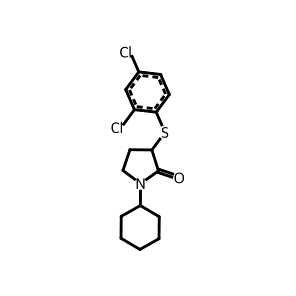 O=C1C(Sc2ccc(Cl)cc2Cl)CCN1C1CCCCC1